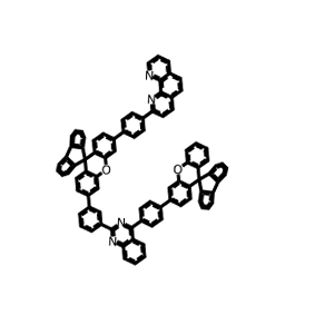 c1cc(-c2ccc3c(c2)Oc2cc(-c4ccc(-c5ccc6ccc7cccnc7c6n5)cc4)ccc2C32c3ccccc3-c3ccccc32)cc(-c2nc(-c3ccc(-c4ccc5c(c4)Oc4ccccc4C54c5ccccc5-c5ccccc54)cc3)c3ccccc3n2)c1